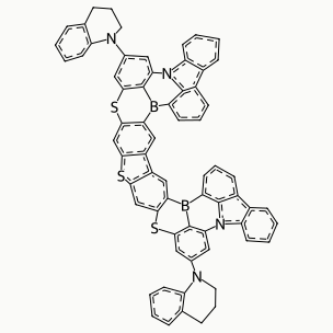 c1ccc2c(c1)CCCN2c1cc2c3c(c1)-n1c4ccccc4c4cccc(c41)B3c1cc3c(cc1S2)sc1cc2c(cc13)B1c3c(cc(N4CCCc5ccccc54)cc3-n3c4ccccc4c4cccc1c43)S2